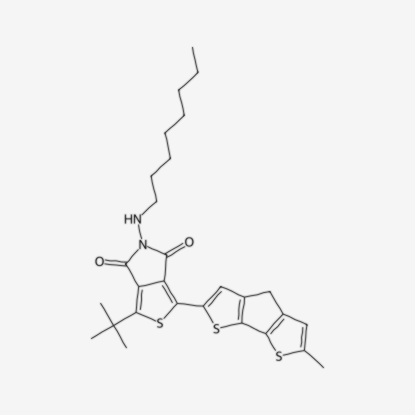 CCCCCCCCNN1C(=O)c2c(-c3cc4c(s3)-c3sc(C)cc3C4)sc(C(C)(C)C)c2C1=O